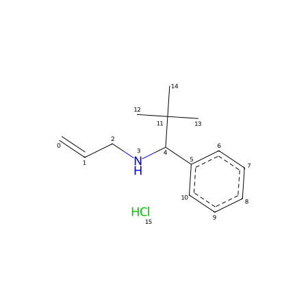 C=CCNC(c1ccccc1)C(C)(C)C.Cl